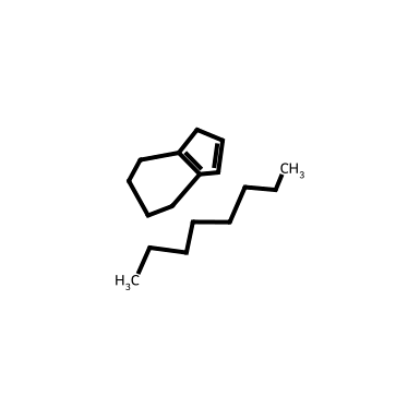 C1=CC2=C(C1)CCCC2.CCCCCCCC